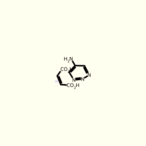 Nc1cnnnc1.O=C(O)/C=C\C(=O)O